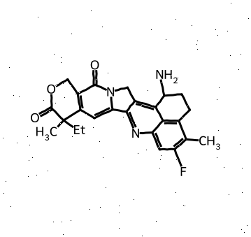 CCC1(C)C(=O)OCc2c1cc1n(c2=O)Cc2c-1nc1cc(F)c(C)c3c1c2C(N)CC3